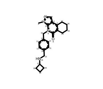 Cn1ncc2c3c(c(=O)n(Cc4ccc(CNC5CCC5)cc4)c21)CCCC3